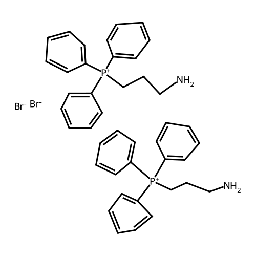 NCCC[P+](c1ccccc1)(c1ccccc1)c1ccccc1.NCCC[P+](c1ccccc1)(c1ccccc1)c1ccccc1.[Br-].[Br-]